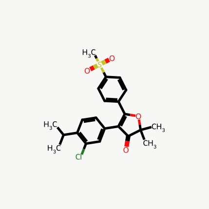 CC(C)c1ccc(C2=C(c3ccc(S(C)(=O)=O)cc3)OC(C)(C)C2=O)cc1Cl